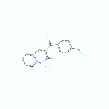 CC(C)Cc1ccc(C(=O)c2cc3ccccc3n(C)c2=O)cc1